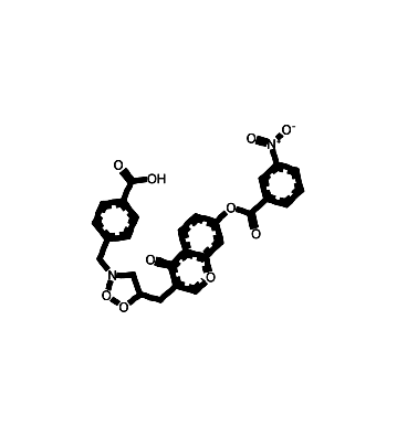 O=C(O)c1ccc(CN2CC(Cc3coc4cc(OC(=O)c5cccc([N+](=O)[O-])c5)ccc4c3=O)OO2)cc1